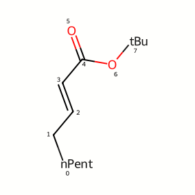 CCCCCCC=CC(=O)OC(C)(C)C